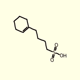 O=S(=O)(O)CCCCC1=CCCCC1